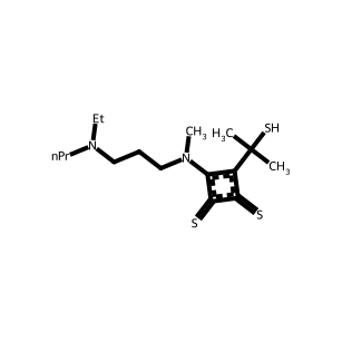 CCCN(CC)CCCN(C)c1c(C(C)(C)S)c(=S)c1=S